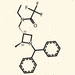 CCN(C[C@@H]1CN(C(c2ccccc2)c2ccccc2)[C@H]1C)C(=O)C(F)(F)F